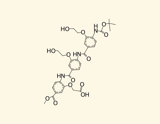 COC(=O)c1ccc(NC(=O)c2ccc(NC(=O)c3ccc(NC(=O)OC(C)(C)C)c(OCCO)c3)c(OCCO)c2)c(OCC(=O)O)c1